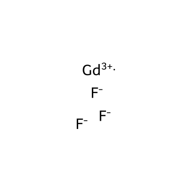 [F-].[F-].[F-].[Gd+3]